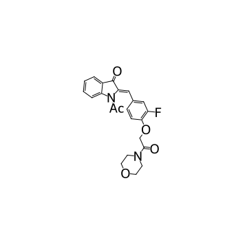 CC(=O)N1C(=Cc2ccc(OCC(=O)N3CCOCC3)c(F)c2)C(=O)c2ccccc21